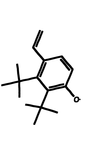 C=Cc1ccc([O])c(C(C)(C)C)c1C(C)(C)C